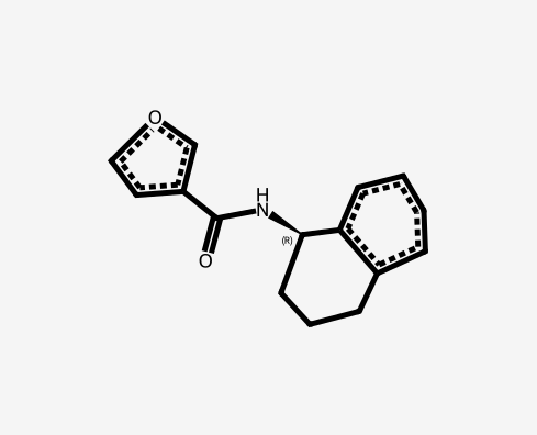 O=C(N[C@@H]1CCCc2ccccc21)c1ccoc1